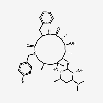 C[C@H]1CN(Cc2ccc(Br)cc2)C(=O)CC(Cc2ccccc2)NC(=O)[C@H](C)[C@@H](O)[C@H](C)[C@@H](O[C@@H]2O[C@H](C)C[C@H](N(C)C)[C@H]2O)[C@](C)(O)C1